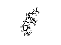 O=C(CC1CC(F)(F)C1)Nc1nc2ccc(C(F)(F)F)nc2n1C1=CC=C1